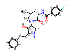 CC(C)C[C@H](NC(=O)c1ccc(F)cc1)C(=O)NC1CNC(CCc2ccccc2)C1=O